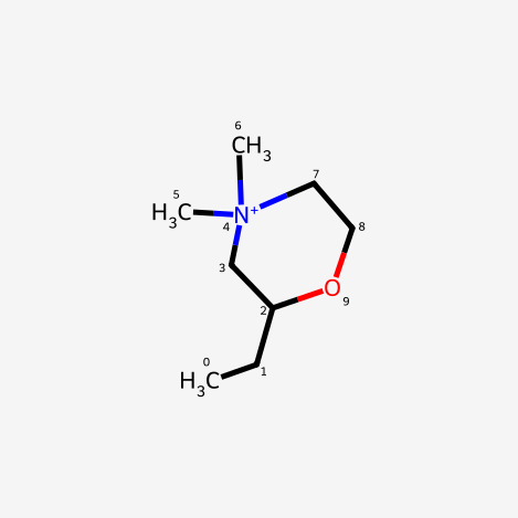 CCC1C[N+](C)(C)CCO1